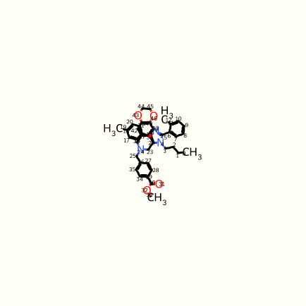 CCCCn1c(-c2ccccc2C)nc(-c2ccc(C)cc2)c1CN(Cc1ccc(C(=O)OC)cc1)Cc1ccc2c(c1)OCCO2